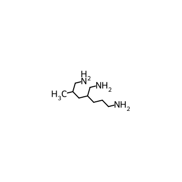 CC(CN)CC(CN)CCCN